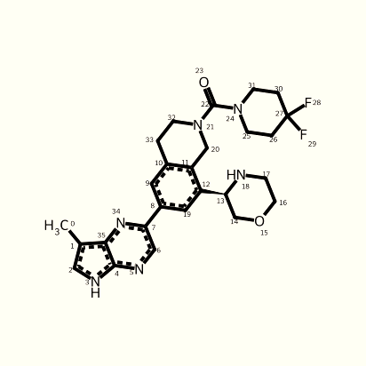 Cc1c[nH]c2ncc(-c3cc4c(c([C@@H]5COCCN5)c3)CN(C(=O)N3CCC(F)(F)CC3)CC4)nc12